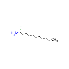 CCCCCCCCCCC(N)F